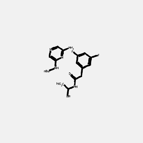 CCCC(NC(=O)Cc1cc(F)cc(F)c1)C(=O)O.CCCCNc1cncc(N)n1